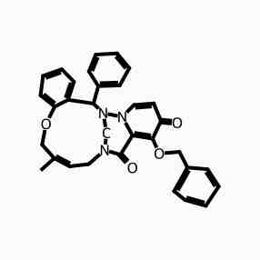 C/C1=C/CN2CN(C(c3ccccc3)c3ccccc3OC1)n1ccc(=O)c(OCc3ccccc3)c1C2=O